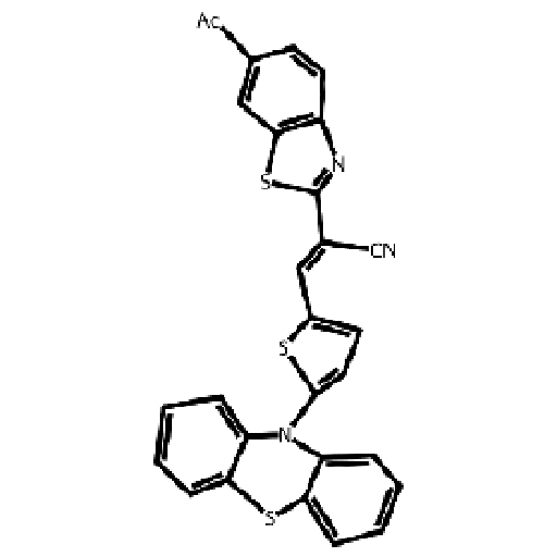 CC(=O)c1ccc2nc(/C(C#N)=C/c3ccc(N4c5ccccc5Sc5ccccc54)s3)sc2c1